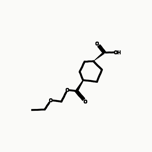 CCOCOC(=O)[C@H]1CC[C@H](C(=O)O)CC1